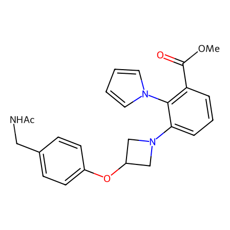 COC(=O)c1cccc(N2CC(Oc3ccc(CNC(C)=O)cc3)C2)c1-n1cccc1